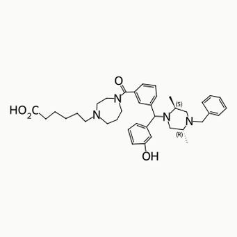 C[C@@H]1CN(C(c2cccc(O)c2)c2cccc(C(=O)N3CCCN(CCCCCC(=O)O)CC3)c2)[C@@H](C)CN1Cc1ccccc1